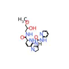 COCC(O)CNC(=O)C1C=CC2=C(N1)N(C(=O)Nc1ccccn1)[C@H]1CCN2C1